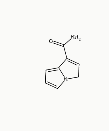 NC(=O)C1=CCn2cccc21